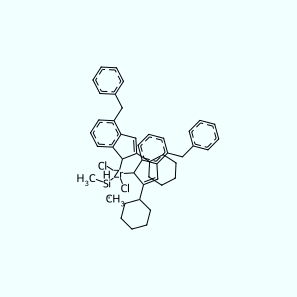 C[SiH](C)[Zr]([Cl])([Cl])([CH]1C(C2CCCCC2)=Cc2c(Cc3ccccc3)cccc21)[CH]1C(C2CCCCC2)=Cc2c(Cc3ccccc3)cccc21